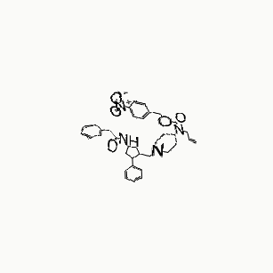 C=CCN(C(=O)OCc1ccc([N+](=O)[O-])cc1)C1CCN(CC2CC(NC(=O)Cc3ccccc3)CC2c2ccccc2)CC1